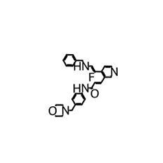 O=C(/C=C/c1cnccc1/C(F)=C/NCc1ccccc1)Nc1ccc(CN2CCOCC2)cc1